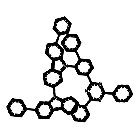 c1ccc(-c2ccc3c4ccccc4n(-c4ccc5c6ccc(-c7ccccc7)cc6n(-c6cc(-c7nc(-c8ccccc8)nc(-c8ccccc8)n7)ccc6-c6ccccc6)c5c4)c3c2)cc1